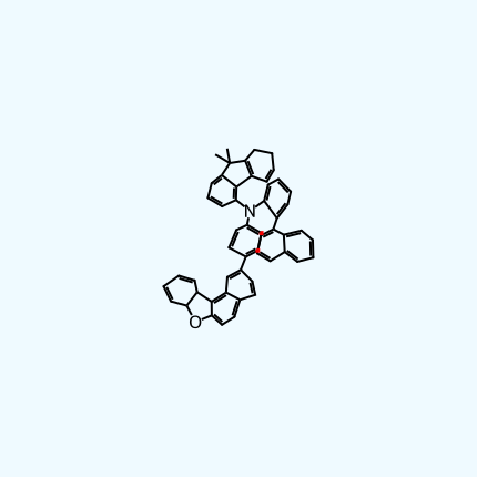 CC1(C)C2=C(C=CCC2)c2c(N(c3ccc(-c4ccc5ccc6c(c5c4)C4C=CC=CC4O6)cc3)c3ccccc3-c3cccc4ccccc34)cccc21